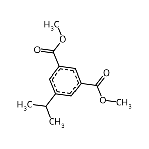 COC(=O)c1cc(C(=O)OC)cc(C(C)C)c1